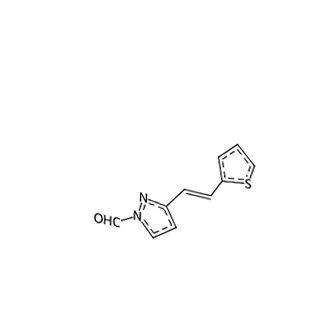 O=Cn1ccc(/C=C/c2cccs2)n1